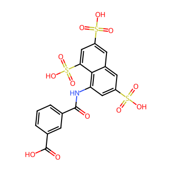 O=C(O)c1cccc(C(=O)Nc2cc(S(=O)(=O)O)cc3cc(S(=O)(=O)O)cc(S(=O)(=O)O)c23)c1